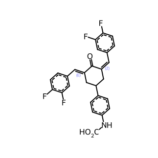 O=C(O)Nc1ccc(C2C/C(=C/c3ccc(F)c(F)c3)C(=O)/C(=C/c3ccc(F)c(F)c3)C2)cc1